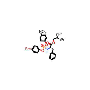 CCCC(CCC)COC(=O)[C@H](Cc1ccccc1)NP(=O)(Oc1ccc(Br)cc1)Oc1ccc([N+](=O)[O-])cc1